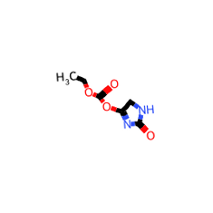 CCOC(=O)OC1=NC(=O)NC1